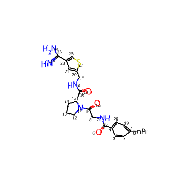 CCCc1ccc(C(=O)NCC(=O)N2CCC[C@H]2C(=O)NCc2cc(C(=N)N)cs2)cc1